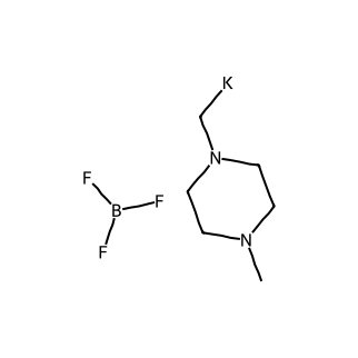 CN1CCN([CH2][K])CC1.FB(F)F